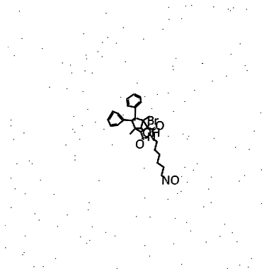 CC12C(c3ccccc3)=C(c3ccccc3)C(C)(C1O)C1(Br)C(=O)N(CCCCCCN=O)C(=O)C21